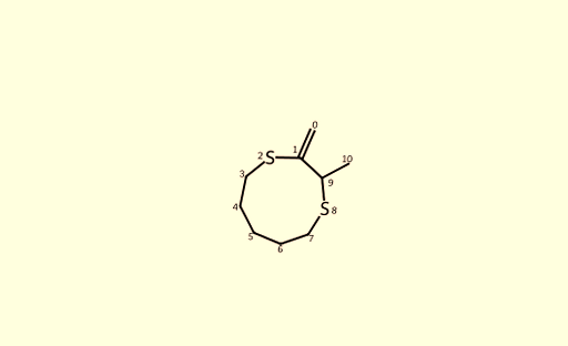 C=C1SCCCCCSC1C